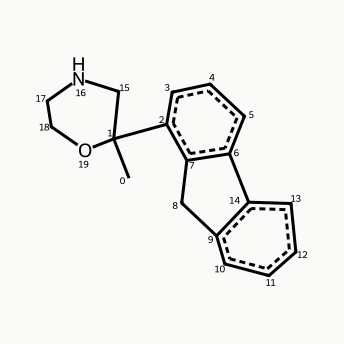 CC1(c2cccc3c2Cc2ccccc2-3)CNCCO1